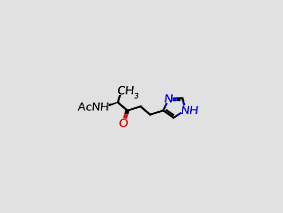 CC(=O)N[C@@H](C)C(=O)CCc1c[nH]cn1